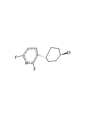 CC[C@H]1CC[C@H](c2ccc(F)nc2F)CC1